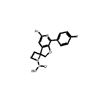 CC(=O)c1cc2c(c(-c3ccc(F)cc3)n1)OCC21CCN1[S+]([O-])C(C)(C)C